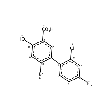 O=C(O)c1cc(-c2ccc(F)cc2Cl)c(Br)cc1O